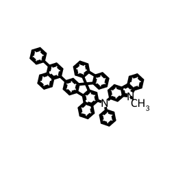 Cn1c2ccccc2c2ccc(N(c3ccccc3)c3cc4c(c5ccccc35)-c3ccc(-c5ccc(-c6ccccc6)c6ccccc56)cc3C43c4ccccc4-c4ccccc43)cc21